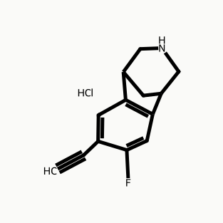 C#Cc1cc2c(cc1F)C1CNCC2C1.Cl